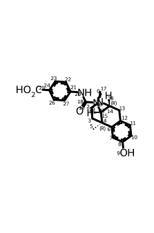 CN1CC[C@]2(C)c3cc(O)ccc3C[C@@H]1[C@H]2N(C)C(=O)Nc1ccc(C(=O)O)cc1